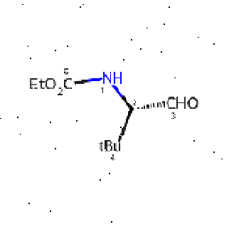 CCOC(=O)N[C@H](C=O)C(C)(C)C